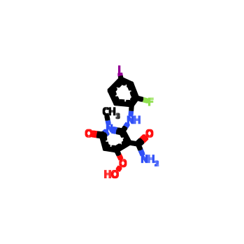 Cn1c(Nc2ccc(I)cc2F)c(C(N)=O)c(OO)cc1=O